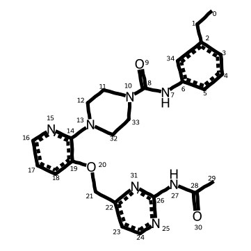 CCc1cccc(NC(=O)N2CCN(c3ncccc3OCc3ccnc(NC(C)=O)n3)CC2)c1